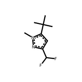 Cn1nc(C(F)F)cc1C(C)(C)C